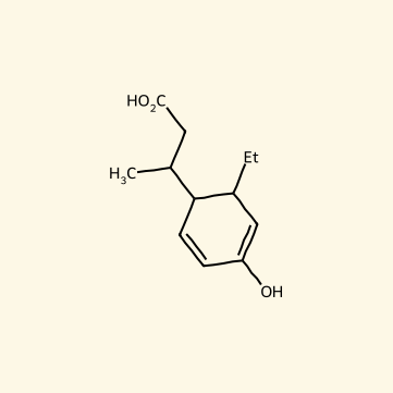 CCC1C=C(O)C=CC1C(C)CC(=O)O